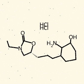 CCN1C[C@@H](CCCC2CCCC(O)C2N)OC1=O.Cl.Cl